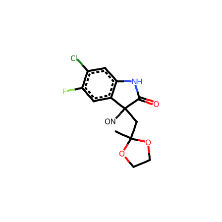 CC1(CC2(N=O)C(=O)Nc3cc(Cl)c(F)cc32)OCCO1